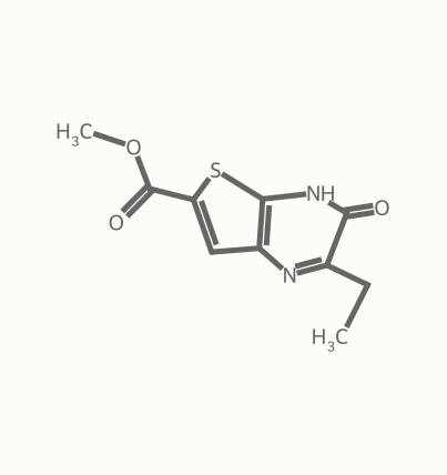 CCc1nc2cc(C(=O)OC)sc2[nH]c1=O